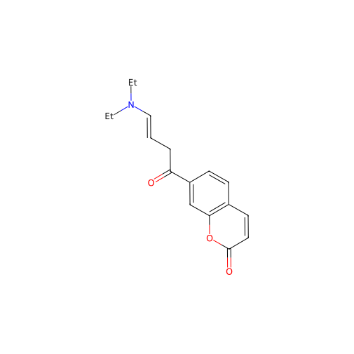 CCN(C=CCC(=O)c1ccc2ccc(=O)oc2c1)CC